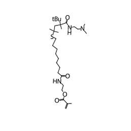 C=C(C)C(=O)OCCNC(=O)CCCCCCCCSC(C)(C)CC(C)(C(=O)NCCN(C)C)C(C)(C)C